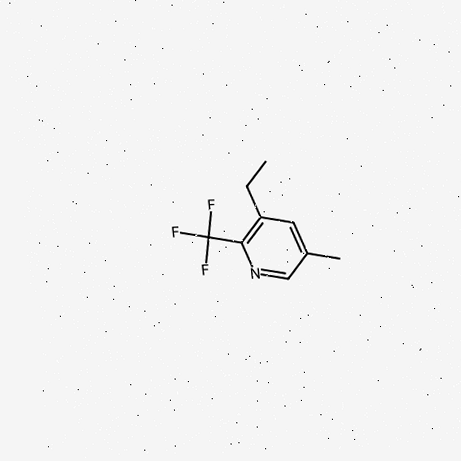 CCc1cc(C)cnc1C(F)(F)F